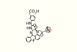 O=C(O)Cc1cccc(NC(=O)NC2N=C(c3ccccc3F)c3ccccc3N(CC(=O)N3CC4CCC(CC4)C3)C2=O)c1